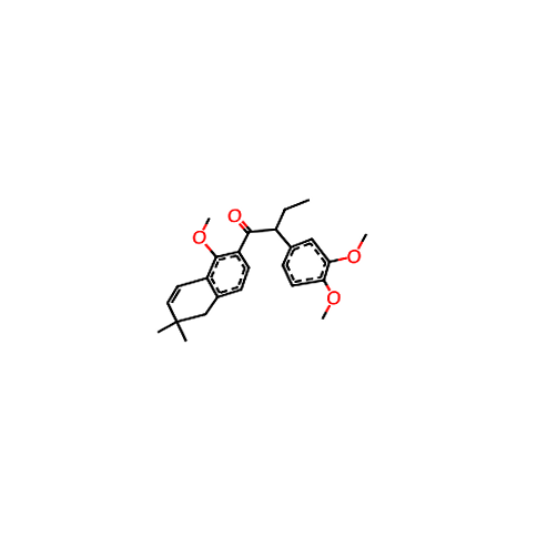 CCC(C(=O)c1ccc2c(c1OC)C=CC(C)(C)C2)c1ccc(OC)c(OC)c1